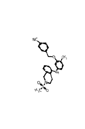 Cc1ccc(Nc2cccc3c2CCN(S(C)(=O)=O)C3)cc1OCc1ccc(C#N)cc1